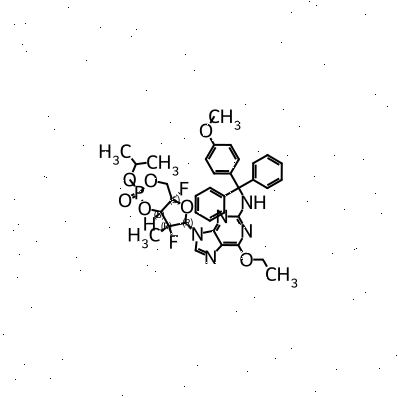 CCOc1nc(NC(c2ccccc2)(c2ccccc2)c2ccc(OC)cc2)nc2c1ncn2[C@@H]1O[C@]2(F)COP(=O)(OC(C)C)O[C@H]2[C@@]1(C)F